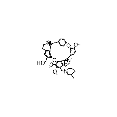 COc1ccc2cc1Oc1ccc(cc1)C[C@H]1c3cc(c(CO)cc3CCN1C)Oc1c(OC)c(OC)c(CN3CCCC(C)C3)c3c1[C@H](C2)N(C)CC3